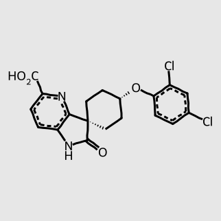 O=C(O)c1ccc2c(n1)[C@]1(CC[C@@H](Oc3ccc(Cl)cc3Cl)CC1)C(=O)N2